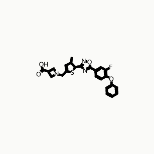 CC1C=C(CN2CC(C(=O)O)C2)SC1c1noc(-c2ccc(Oc3ccccc3)c(F)c2)n1